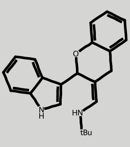 CC(C)(C)NC=C1Cc2ccccc2OC1c1c[nH]c2ccccc12